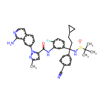 Cc1cc(C(=O)Nc2cc(C(CCC3CC3)(N[S@+]([O-])C(C)(C)C)c3ccc(C#N)cc3)ccc2F)n(-c2ccc3ccnc(N)c3c2)n1